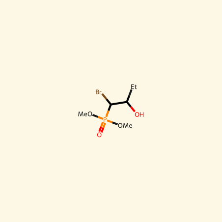 CCC(O)C(Br)P(=O)(OC)OC